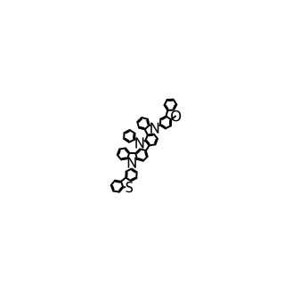 c1ccc(-n2c3c(ccc4c3c3ccccc3n4-c3ccc4oc5ccccc5c4c3)c3ccc4c(c5ccccc5n4-c4ccc5sc6ccccc6c5c4)c32)cc1